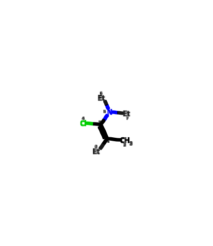 CCC(C)=C(Cl)N(CC)CC